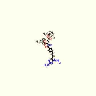 CC(C)(C)OC(=O)CC[C@H](NC(=O)c1ccc(CCCc2cnc(N)nc2N)cc1)C(=O)OC(C)(C)C